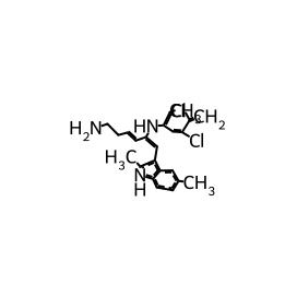 C=C(Cl)/C(Cl)=C\C(=C/C)NC(/C=C/CCN)=C/c1c(C)[nH]c2ccc(C)cc12